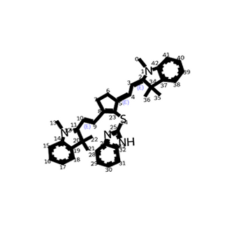 CN1/C(=C/C=C2\CCC(/C=C/C3=[N+](C)c4ccccc4C3(C)C)=C2Sc2nc3ccccc3[nH]2)C(C)(C)c2ccccc21